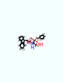 O=C(NC(CO)COCc1ccccc1)OCC1c2ccccc2-c2ccccc21